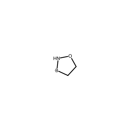 [B]1CCON1